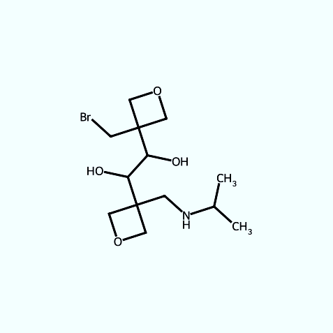 CC(C)NCC1(C(O)C(O)C2(CBr)COC2)COC1